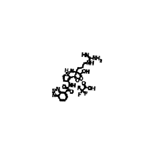 N=C(N)NCCC[C@](N)(C(=O)O)C(=O)c1sccc1NS(=O)(=O)c1cccc2nsnc12.O=C(O)C(F)(F)F